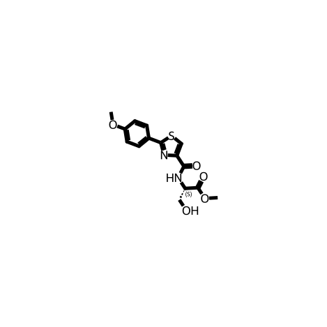 COC(=O)[C@H](CO)NC(=O)c1csc(-c2ccc(OC)cc2)n1